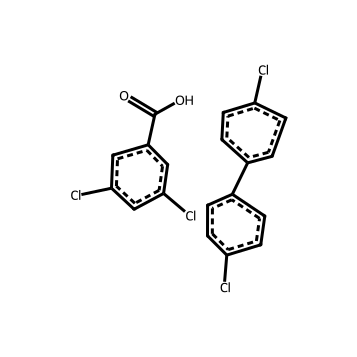 Clc1ccc(-c2ccc(Cl)cc2)cc1.O=C(O)c1cc(Cl)cc(Cl)c1